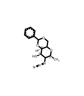 C[C@@H]1OC2COC(c3ccccc3)O[C@@H]2[C@H](O)C1N=[N+]=[N-]